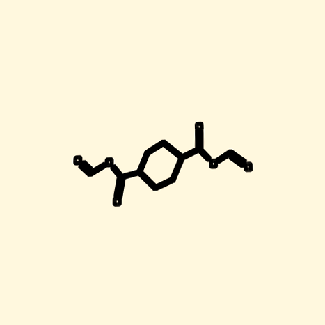 O=COC(=O)C1CCC(C(=O)OC=O)CC1